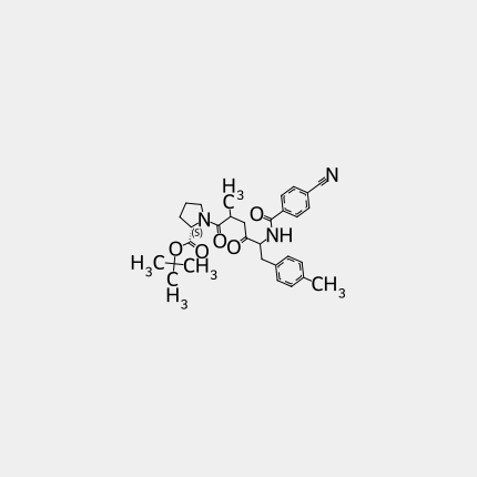 Cc1ccc(CC(NC(=O)c2ccc(C#N)cc2)C(=O)CC(C)C(=O)N2CCC[C@H]2C(=O)OC(C)(C)C)cc1